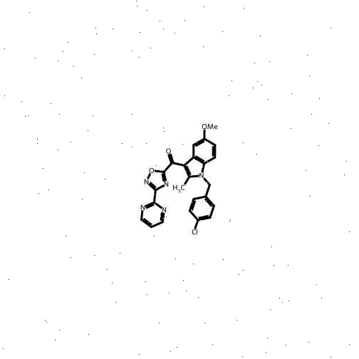 COc1ccc2c(c1)c(C(=O)c1nc(-c3ncccn3)no1)c(C)n2Cc1ccc(Cl)cc1